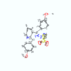 COc1ccc(Cc2cccnc2Cc2ccc(OC)cc2)cc1.N[SH](=O)=O